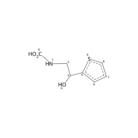 O=C(O)NCC(O)c1cccs1